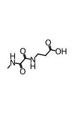 CNC(=O)C(=O)NCCC(=O)O